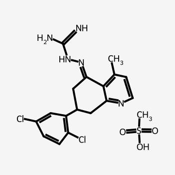 CS(=O)(=O)O.Cc1ccnc2c1C(=NNC(=N)N)CC(c1cc(Cl)ccc1Cl)C2